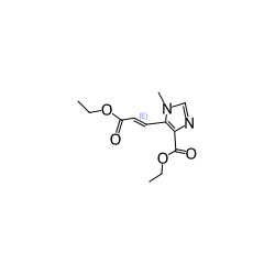 CCOC(=O)/C=C/c1c(C(=O)OCC)ncn1C